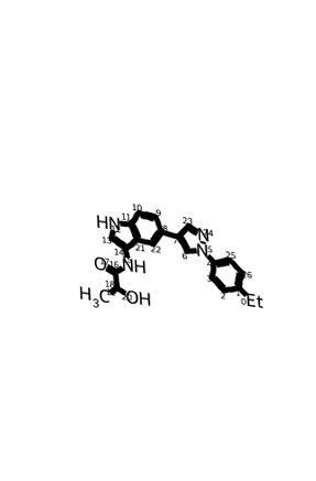 CCc1ccc(-n2cc(-c3ccc4[nH]cc(NC(=O)C(C)O)c4c3)cn2)cc1